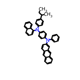 CCC(C)c1ccc(N(c2ccc(N(c3ccccc3)c3ccc4cc5ccccc5cc4c3)cc2)c2cccc3ccccc23)cc1